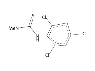 CNC(=S)Nc1c(Cl)cc(Cl)cc1Cl